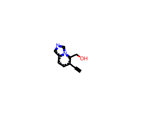 C#Cc1ccc2cncn2c1CO